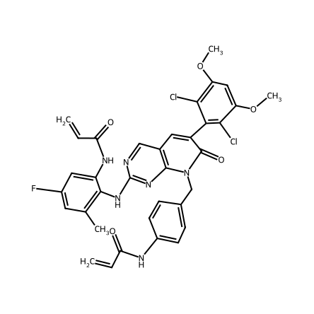 C=CC(=O)Nc1ccc(Cn2c(=O)c(-c3c(Cl)c(OC)cc(OC)c3Cl)cc3cnc(Nc4c(C)cc(F)cc4NC(=O)C=C)nc32)cc1